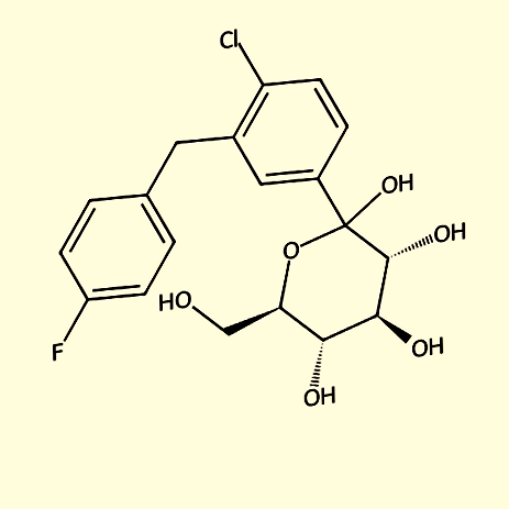 OC[C@H]1OC(O)(c2ccc(Cl)c(Cc3ccc(F)cc3)c2)[C@H](O)[C@@H](O)[C@@H]1O